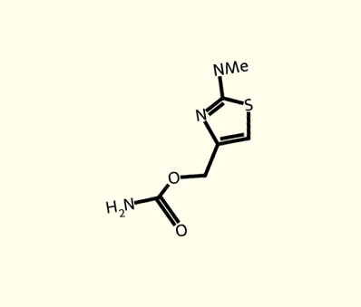 CNc1nc(COC(N)=O)cs1